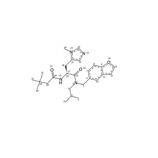 CC(C)CN(Cc1ccc2occc2c1)C(=O)[C@H](Cc1cncn1C)NC(=O)CC(C)(C)C